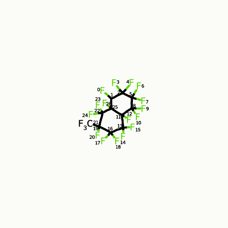 FC1C(F)(F)C(F)(F)C(F)(F)C2(F)C(F)(F)C(F)(F)C(F)(C(F)(F)F)C(F)(F)C12F